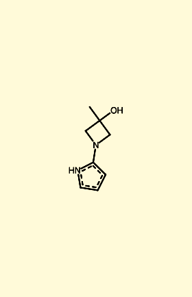 CC1(O)CN(c2ccc[nH]2)C1